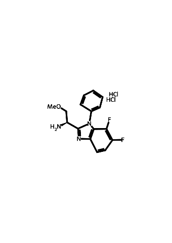 COC[C@H](N)c1nc2ccc(F)c(F)c2n1-c1ccccc1.Cl.Cl